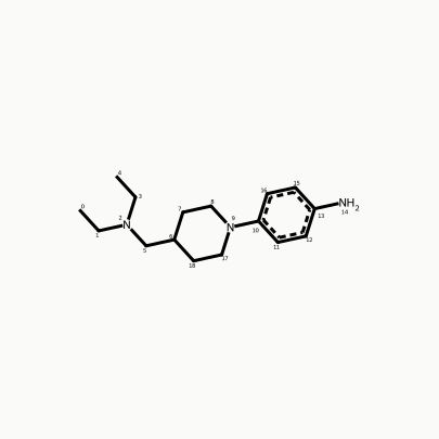 CCN(CC)CC1CCN(c2ccc(N)cc2)CC1